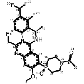 COc1cc2nc(CF)nc(N[C@H](C)c3cccc(C(F)F)c3F)c2cc1P1(=O)CCN(C(C)=O)CC1